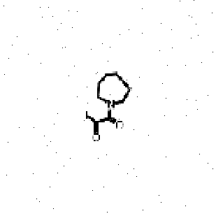 O=C(I)C(=O)N1CCCCCC1